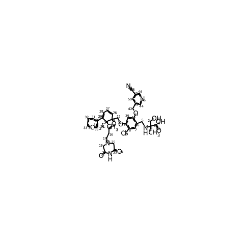 CC(CO)(NCc1cc(Cl)c(OCC2(OCCCN3CC(=O)NC(=O)C3)C=CC=C(c3ccccc3)C2(C)C)cc1OCc1cncc(C#N)c1)C(=O)O